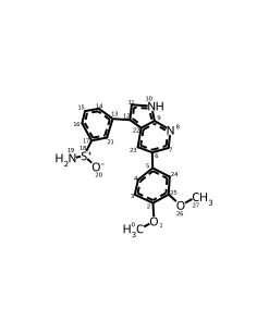 COc1ccc(-c2cnc3[nH]cc(-c4cccc([S+](N)[O-])c4)c3c2)cc1OC